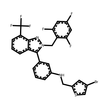 Fc1cc(F)c(Cn2nc3c(C(F)(F)F)cccc3c2-c2cccc(NCc3cc(Br)cs3)c2)c(F)c1